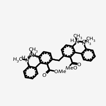 COC(=O)c1c(Cc2ccc(N(C)C)c(-c3ccccc3N(C)C)c2C(=O)OC)ccc(N(C)C)c1-c1ccccc1N(C)C